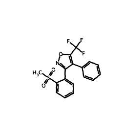 CS(=O)(=O)c1ccccc1-c1noc(C(F)(F)F)c1-c1ccccc1